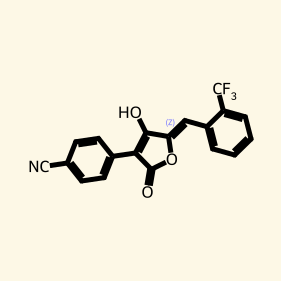 N#Cc1ccc(C2=C(O)/C(=C/c3ccccc3C(F)(F)F)OC2=O)cc1